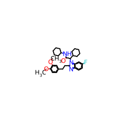 COc1ccc(CCc2nc3ccc(F)cc3n2C(C(=O)NC2CCCCC2)C2CCCCC2)cc1OC